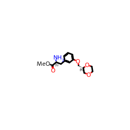 COC(=O)[C@@H](N)Cc1cccc(OC[C@H]2COCCO2)c1